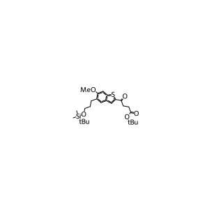 COc1cc2sc(C(=O)CCC(=O)OC(C)(C)C)cc2cc1CCCO[Si](C)(C)C(C)(C)C